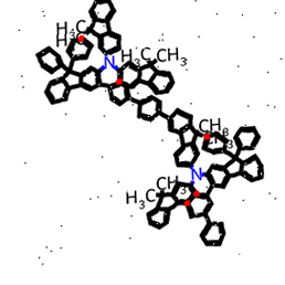 CC1(C)c2ccccc2-c2ccc(N(c3ccc4c(c3)C(C)(C)c3ccccc3-4)c3cc4c(cc3-c3ccc(-c5ccc(-c6ccc7c(c6)-c6ccc(N(c8ccc9c(c8)C(C)(C)c8ccccc8-9)c8cc9c(cc8-c8cccc(-c%10ccccc%10)c8)-c8ccccc8C9(c8ccccc8)c8ccccc8)cc6C7(C)C)cc5)cc3)-c3ccccc3C4(c3ccccc3)c3ccccc3)cc21